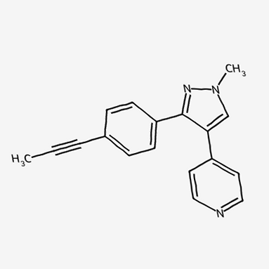 CC#Cc1ccc(-c2nn(C)cc2-c2ccncc2)cc1